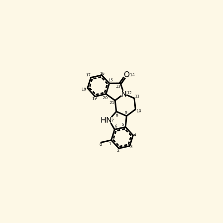 Cc1cccc2c1NC1C2CCN2C(=O)c3ccccc3C12